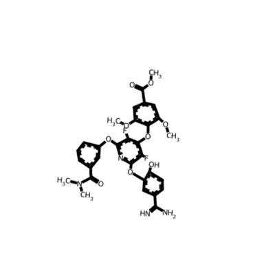 COC(=O)c1cc(OC)c(Oc2c(F)c(Oc3cccc(C(=O)N(C)C)c3)nc(Oc3cc(C(=N)N)ccc3O)c2F)c(OC)c1